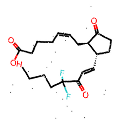 CCCCC(F)(F)C(=O)/C=C/[C@H]1CCC(=O)[C@@H]1C/C=C\CCCC(=O)O